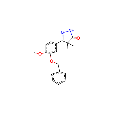 COc1ccc(C2=NNC(=O)C2(C)C)cc1OCc1ccccc1